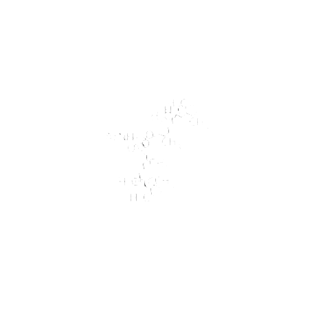 CC(=O)NC(CC(=O)OCC=C(C)C=CC=C(C)C=CC1=C(C)CCCC1(C)C)C(=O)OCC=C(C)C=CC=C(C)C=CC1=C(C)CCCC1(C)C